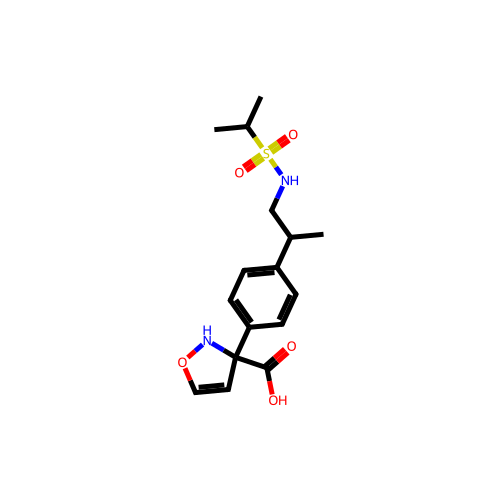 CC(CNS(=O)(=O)C(C)C)c1ccc(C2(C(=O)O)C=CON2)cc1